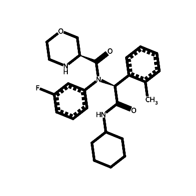 Cc1ccccc1[C@@H](C(=O)NC1CCCCC1)N(C(=O)[C@@H]1COCCN1)c1cccc(F)c1